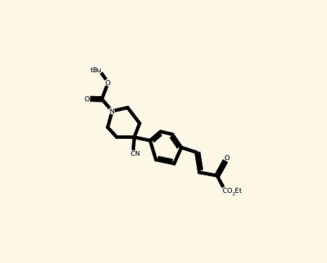 CCOC(=O)C(=O)/C=C/c1ccc(C2(C#N)CCN(C(=O)OC(C)(C)C)CC2)cc1